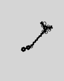 C=C(C)C(=O)Oc1cc(OC(=O)C(=C)C)cc(C(=O)OCCCCCCCCCCCCOc2ccc(-c3ccccc3)cc2)c1